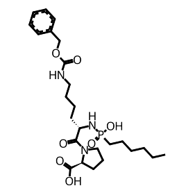 CCCCCCP(=O)(O)N[C@@H](CCCCNC(=O)OCc1ccccc1)C(=O)N1CCC[C@H]1C(=O)O